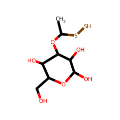 CC(OC1C(O)C(O)OC(CO)C1O)SS